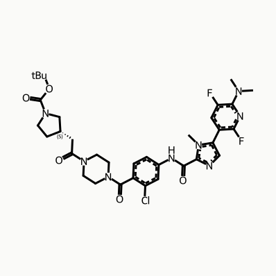 CN(C)c1nc(F)c(-c2cnc(C(=O)Nc3ccc(C(=O)N4CCN(C(=O)C[C@@H]5CCN(C(=O)OC(C)(C)C)C5)CC4)c(Cl)c3)n2C)cc1F